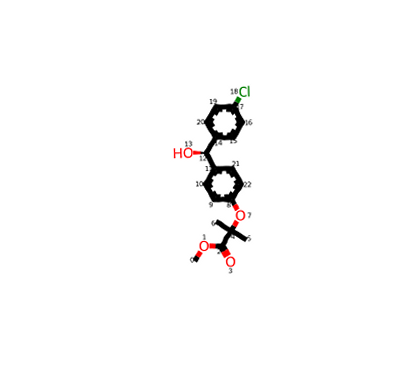 COC(=O)C(C)(C)Oc1ccc([C@@H](O)c2ccc(Cl)cc2)cc1